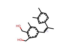 C/C(=C/c1cc(C)c(CO)c(CO)c1)c1ccc(C)c(C)c1